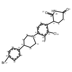 O=C1CCC(c2ccc(N3CCC(c4ccc(Br)cc4)CC3)c(F)c2Cl)C(=O)N1